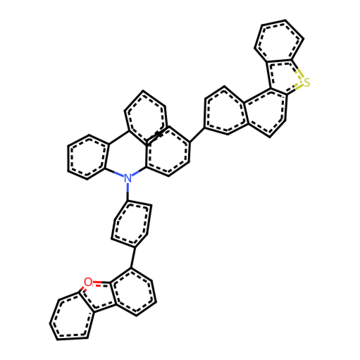 c1ccc(-c2ccccc2N(c2ccc(-c3ccc4c(ccc5sc6ccccc6c54)c3)cc2)c2ccc(-c3cccc4c3oc3ccccc34)cc2)cc1